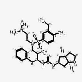 Cc1ccc(S(=O)(=O)N(CCN(C)C)C[C@@H](O)[C@H](Cc2ccccc2)NC(=O)O[C@H]2C[C@H]3CCO[C@H]3C2)cc1CO